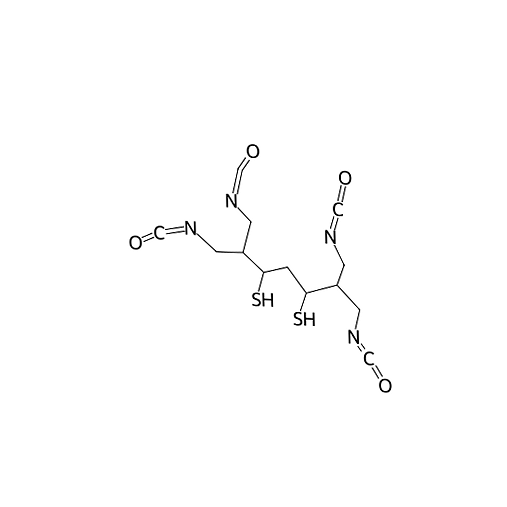 O=C=NCC(CN=C=O)C(S)CC(S)C(CN=C=O)CN=C=O